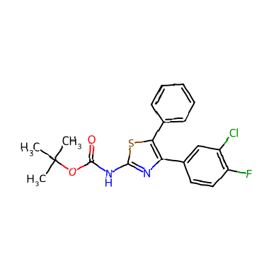 CC(C)(C)OC(=O)Nc1nc(-c2ccc(F)c(Cl)c2)c(-c2ccccc2)s1